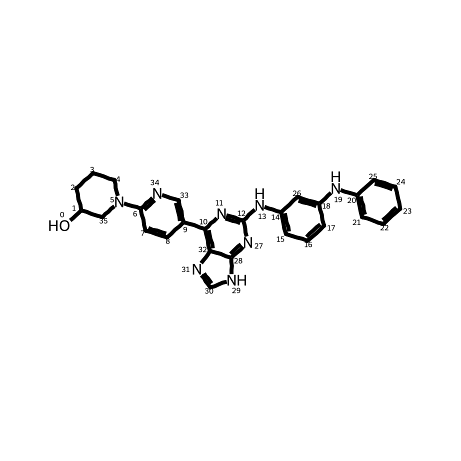 OC1CCCN(c2ccc(-c3nc(Nc4cccc(Nc5ccccc5)c4)nc4[nH]cnc34)cn2)C1